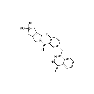 O=C(c1cc(Cc2n[nH]c(=O)c3ccccc23)ccc1F)N1CC2=C(C1)CS(O)(O)C2